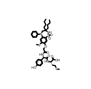 CCCCC1(CCCC)CN(c2ccccc2)c2cc(SC)c(OCC(=O)N[C@@H](C(=O)N[C@@H](CCSC)C(=O)O)c3ccc(O)cc3)cc2S(=O)(=O)N1